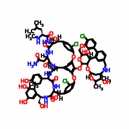 CN[C@H](CC(C)C)C(=O)N[C@H]1C(=O)N[C@@H](CC(N)=O)C(=O)N[C@H]2C(=S)N[C@H]3C(=O)N[C@H](C(=O)N[C@H](CO)C4=CC(O)CC(C)(O)C4C4CC3=CC=C4O)[C@H](O)C3=CC=C(Oc4cc2cc(c4O[C@H]2OC(CO)C(O)[C@@H]4c5cc(ccc5-c5ccc(Cl)cc5)CNC5(C)C[C@H](OC24)OC(C)[C@H]5O)OC2=C(Cl)C=C(CC2)[C@H]1O)C(Cl)C3